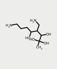 CC(O)(O)C(O)C(CN)C(O)CCCN